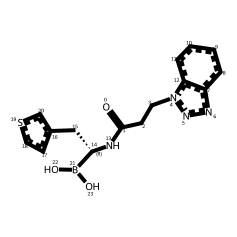 O=C(CCn1nnc2ccccc21)N[C@@H](Cc1ccsc1)B(O)O